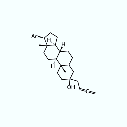 C=C=CCC1(O)CC[C@@]2(C)C(CC[C@H]3[C@@H]4CC[C@H](C(C)=O)[C@@]4(C)CC[C@@H]32)C1